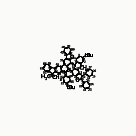 Cc1cc(C(C)(C)C)ccc1N1c2cc3c(-c4ccccc4)c(-c4ccccc4)oc3cc2B2c3c(cc4c(oc5ccccc54)c31)-c1cc3c(cc1N2c1ccc(C(C)(C)C)cc1)C(C)(C)c1ccccc1-3